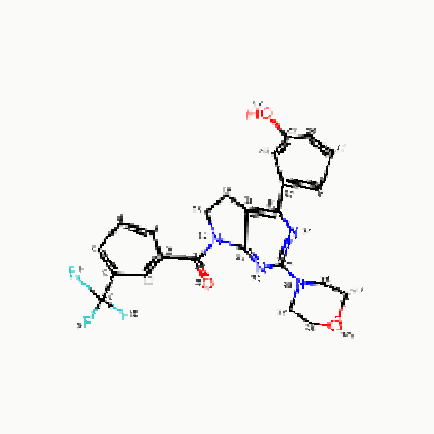 O=C(c1cccc(C(F)(F)F)c1)N1CCc2c(-c3cccc(O)c3)nc(N3CCOCC3)nc21